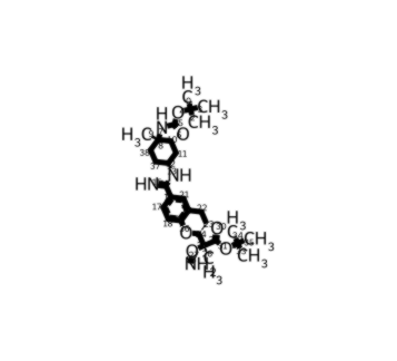 CC(C)(C)OC(=O)N[C@]1(C)CC[C@@H](NC(=N)c2ccc3c(c2)CC[C@H]([C@](C)(ON)C(=O)OC(C)(C)C)O3)CC1